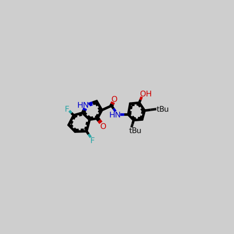 CC(C)(C)c1cc(C(C)(C)C)c(NC(=O)c2c[nH]c3c(F)ccc(F)c3c2=O)cc1O